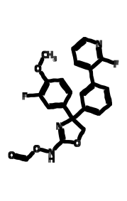 COc1ccc(C2(c3cccc(-c4cccnc4F)c3)COC(NOC=O)=N2)cc1F